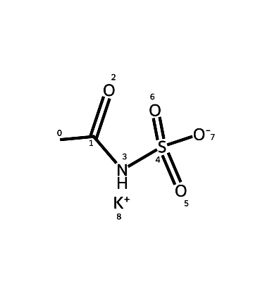 CC(=O)NS(=O)(=O)[O-].[K+]